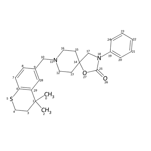 CC1(C)CCSc2ccc(CN3CCC4(CC3)CN(c3ccccc3)C(=O)O4)cc21